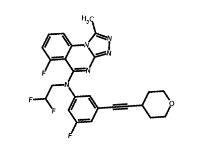 Cc1nnc2nc(N(CC(F)F)c3cc(F)cc(C#CC4CCOCC4)c3)c3c(F)cccc3n12